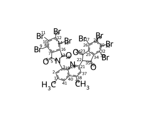 Cc1cc(N2C(=O)c3c(Br)c(Br)c(Br)c(Br)c3C2=O)c2nc(C3C(=O)c4c(Br)c(Br)c(Br)c(Br)c4C3=O)cc(C)c2c1